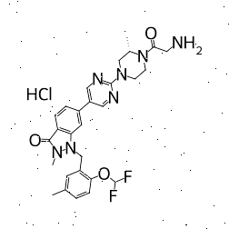 Cc1ccc(OC(F)F)c(Cn2c3cc(-c4cnc(N5CCN(C(=O)CN)[C@@H](C)C5)nc4)ccc3c(=O)n2C)c1.Cl